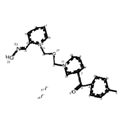 Cc1ccc(C(=O)c2ccc[n+](COC[n+]3ccccc3C=NO)c2)cc1.[I-].[I-]